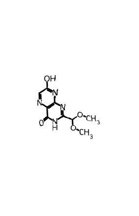 COC(OC)c1nc2nc(O)cnc2c(=O)[nH]1